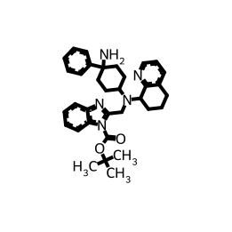 CC(C)(C)OC(=O)n1c(CN(C2CCC(N)(c3ccccc3)CC2)C2CCCc3cccnc32)nc2ccccc21